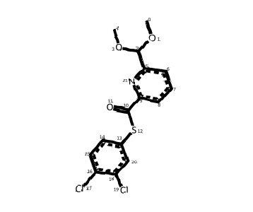 COC(OC)c1cccc(C(=O)Sc2ccc(Cl)c(Cl)c2)n1